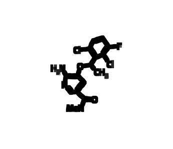 CNC(=O)c1cnc(N)c(OC(C)c2c(Cl)ccc(F)c2Cl)c1